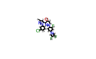 Cc1cc(-c2nn(-c3ccc(-n4cc(F)c(F)c4)cc3F)ccc2=O)n(-c2cccc(Cl)c2)n1